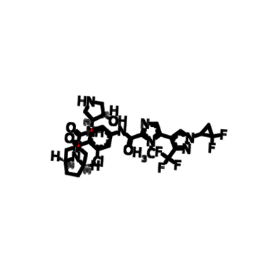 Cn1c(-c2cn(C3CC3(F)F)nc2C(F)(F)F)cnc1C(=O)Nc1ccc(C(=O)N2[C@@H]3CC[C@H]2CN(C(=O)N[C@H]2CNC[C@@H]2O)C3)c(Cl)c1